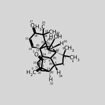 C=C1C(=O)[C@@]23[C@@H]4CC(C)(C)[C@]25OC[C@]2(C=CC(=O)C(C)(C)[C@H]2[C@@H]5O)[C@@H]3CC[C@@H]14